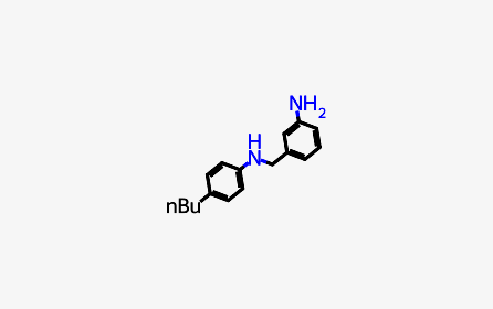 CCCCc1ccc(NCc2cccc(N)c2)cc1